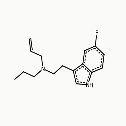 C=CCN(CCC)CCc1c[nH]c2ccc(F)cc12